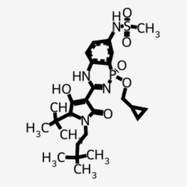 CC(C)(C)CCN1C(=O)C(C2=NP(=O)(OCC3CC3)c3cc(NS(C)(=O)=O)ccc3N2)=C(O)C1C(C)(C)C